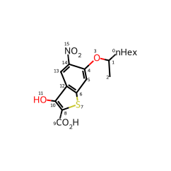 CCCCCCC(C)Oc1cc2sc(C(=O)O)c(O)c2cc1[N+](=O)[O-]